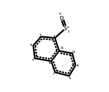 O=[S+]c1[c]ccc2ccccc12